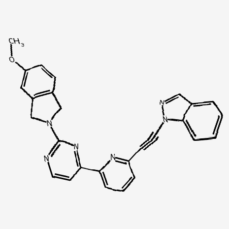 COc1ccc2c(c1)CN(c1nccc(-c3cccc(C#Cn4ncc5ccccc54)n3)n1)C2